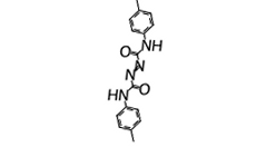 Cc1ccc(NC(=O)N=NC(=O)Nc2ccc(C)cc2)cc1